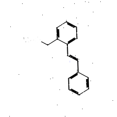 [CH2]OCc1ccccc1/C=C/c1ccccc1